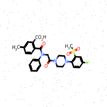 Cc1ccc(C(=O)N(CC(=O)N2CCN(c3ccc(F)cc3S(C)(=O)=O)CC2)c2ccccc2)c(C(=O)O)c1